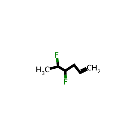 C=CCC(F)C(C)F